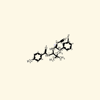 Cc1ccc(C(=O)NC(N/C(=N/C#N)Nc2cccc(F)c2)C(C)(C)C)cc1